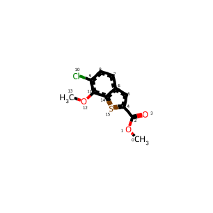 COC(=O)c1cc2ccc(Cl)c(OC)c2s1